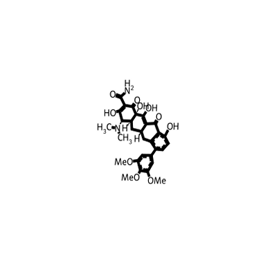 COc1cc(-c2ccc(O)c3c2C[C@H]2C[C@H]4[C@H](N(C)C)C(O)=C(C(N)=O)C(=O)[C@@]4(O)C(O)=C2C3=O)cc(OC)c1OC